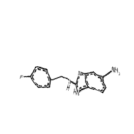 Nc1ccc2[nH]c(NCc3ccc(F)cc3)nc2c1